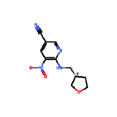 N#Cc1cnc(NC[C@@H]2CCOC2)c([N+](=O)[O-])c1